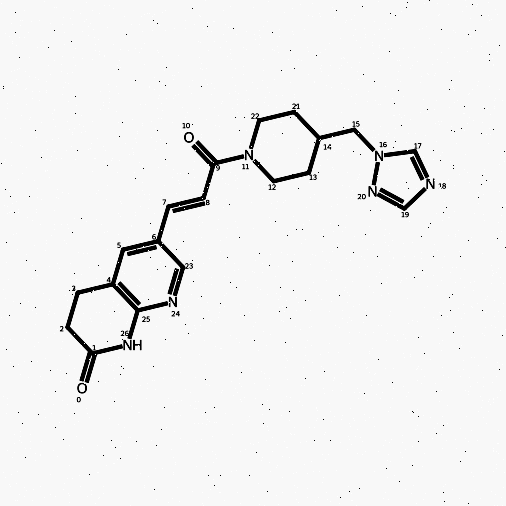 O=C1CCc2cc(/C=C/C(=O)N3CCC(Cn4cncn4)CC3)cnc2N1